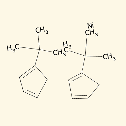 CC(C)(C)C1=CC=CC1.CC(C)(C)C1=CC=CC1.[Ni]